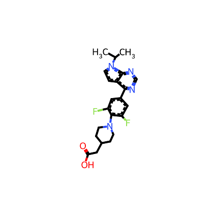 CC(C)n1ccc2c(-c3cc(F)c(N4CCC(CC(=O)O)CC4)c(F)c3)ncnc21